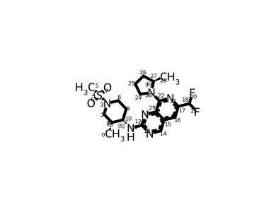 C[C@@H]1CN(S(C)(=O)=O)CC[C@@H]1Nc1ncc2cc(C(F)F)nc(N3CCC[C@H]3C)c2n1